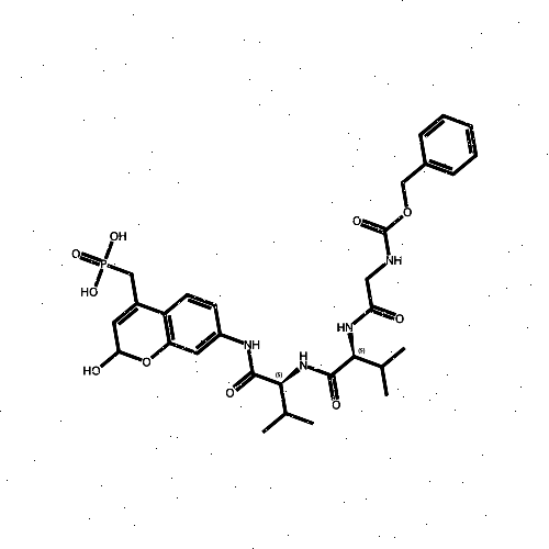 CC(C)[C@H](NC(=O)CNC(=O)OCc1ccccc1)C(=O)N[C@H](C(=O)Nc1ccc2c(c1)OC(O)C=C2CP(=O)(O)O)C(C)C